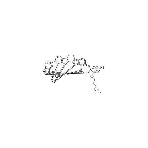 CCOC(=O)C1(C(=O)OCCCN)C=c2ccc3c4c5c6c7c8c9c%10c%11c(ccc%12c%13c%14c(c(c2c36)c7c9c%14c%12%11)C1C=C%13)C1C=CC2=C(C=8C5C2C=C4)C%101